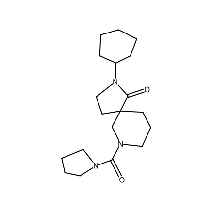 O=C(N1CCCC1)N1CCCC2(CCN(C3CCCCC3)C2=O)C1